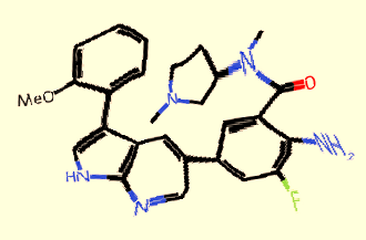 COc1ccccc1-c1c[nH]c2ncc(-c3cc(F)c(N)c(C(=O)N(C)C4CCN(C)C4)c3)cc12